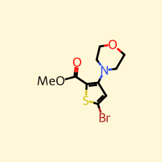 COC(=O)c1sc(Br)cc1N1CCOCC1